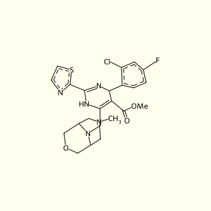 COC(=O)C1=C(CN2C3COCC2CN(C)C3)NC(c2nccs2)=NC1c1ccc(F)cc1Cl